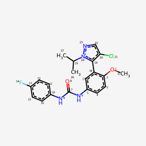 COc1ccc(NC(=O)Nc2ccc(F)cc2)cc1-c1c(Cl)cnn1C(C)C